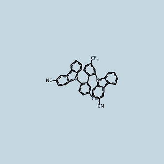 N#Cc1ccc(-n2c3ccccc3c3cc(C#N)ccc32)c(-c2ccc(C(F)(F)F)cc2-n2c3ccccc3c3cc(C#N)ccc32)c1